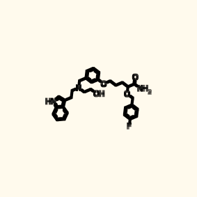 NC(=O)C(CCCOc1cccc(CN(CCO)CCc2c[nH]c3ccccc23)c1)OCc1ccc(F)cc1